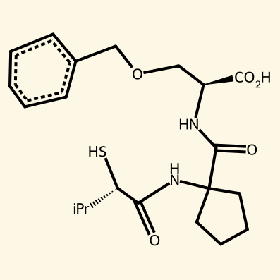 CC(C)[C@H](S)C(=O)NC1(C(=O)N[C@@H](COCc2ccccc2)C(=O)O)CCCC1